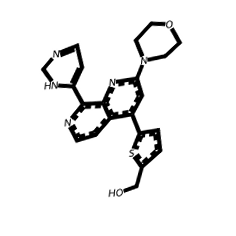 OCc1ccc(-c2cc(N3CCOCC3)nc3c(C4=CC=NCN4)nccc23)s1